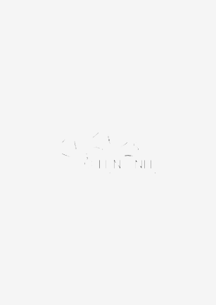 Nc1scc(-c2cccc(C(=O)c3ccccc3)c2)c1N